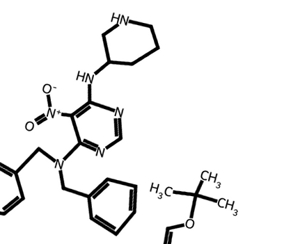 CC(C)(C)OC=O.O=[N+]([O-])c1c(NC2CCCNC2)ncnc1N(Cc1ccccc1)Cc1ccccc1